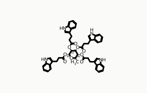 C[C@@H]1O[C@H](OC(=O)CCc2c[nH]c3ccccc23)[C@@H](OC(=O)CCc2c[nH]c3ccccc23)[C@H](OC(=O)CCc2c[nH]c3ccccc23)[C@@H]1OC(=O)CCc1c[nH]c2ccccc12